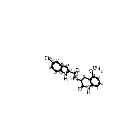 COc1cccc2c1CC(NC(=O)c1cc3cc(Cl)ccc3[nH]1)C(=O)N2